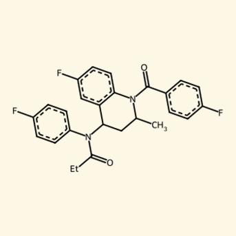 CCC(=O)N(c1ccc(F)cc1)C1CC(C)N(C(=O)c2ccc(F)cc2)c2ccc(F)cc21